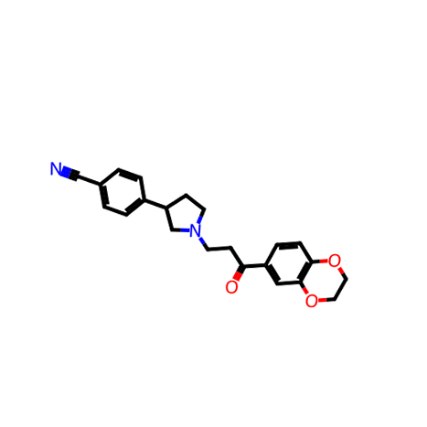 N#Cc1ccc(C2CCN(CCC(=O)c3ccc4c(c3)OCCO4)C2)cc1